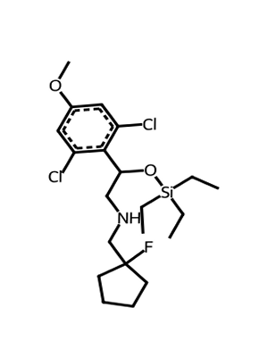 CC[Si](CC)(CC)OC(CNCC1(F)CCCC1)c1c(Cl)cc(OC)cc1Cl